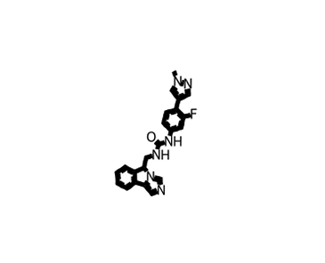 Cn1cc(-c2ccc(NC(=O)NCC3c4ccccc4-c4cncn43)cc2F)cn1